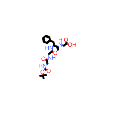 C=C(NCC(=O)O)C(Cc1ccccc1)NC(=O)CNC(=O)CNC(=O)OC(C)(C)C